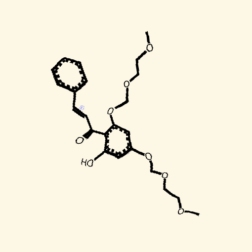 COCCOCOc1cc(O)c(C(=O)/C=C/c2ccccc2)c(OCOCCOC)c1